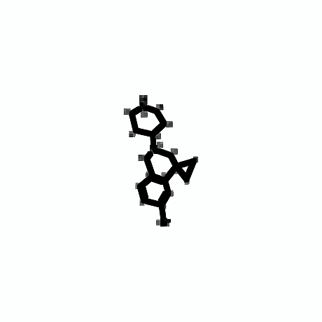 Brc1ccc2c(c1)C1(CC1)CN(C1CCNCC1)C2